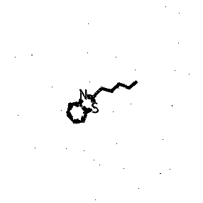 CCCCCc1nc2ccccc2s1